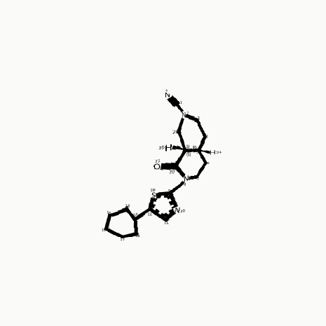 N#CN1CC[C@@H]2CCN(c3ncc(C4CCCCC4)s3)C(=O)[C@@H]2C1